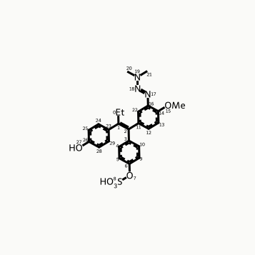 CC/C(=C(/c1ccc(OS(=O)(=O)O)cc1)c1ccc(OC)c(N=NN(C)C)c1)c1ccc(O)cc1